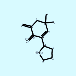 C=C1CC(C)(C)C=C(C2CCCN2)C1=O